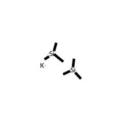 C[Si](C)C.C[Si](C)C.[K]